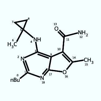 CCCCc1nc(NC2(C)CC2)c2c(C(N)=O)c(C)oc2n1